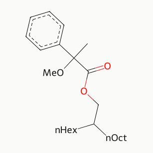 CCCCCCCCC(CCCCCC)COC(=O)C(C)(OC)c1ccccc1